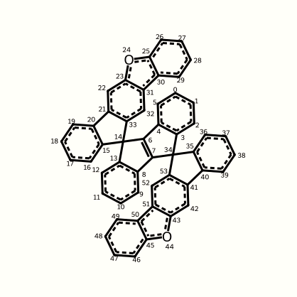 c1ccc2c(c1)C1=C(c3ccccc3C13c1ccccc1-c1cc4oc5ccccc5c4cc13)C21c2ccccc2-c2cc3oc4ccccc4c3cc21